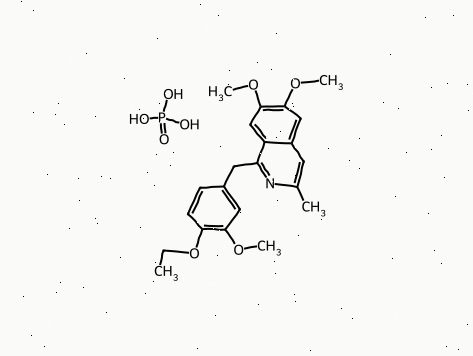 CCOc1ccc(Cc2nc(C)cc3cc(OC)c(OC)cc23)cc1OC.O=P(O)(O)O